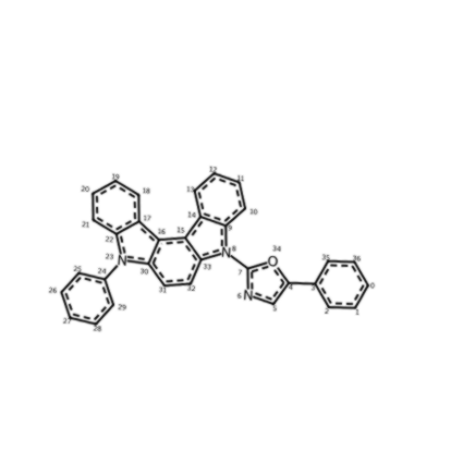 c1ccc(-c2cnc(-n3c4ccccc4c4c5c6ccccc6n(-c6ccccc6)c5ccc43)o2)cc1